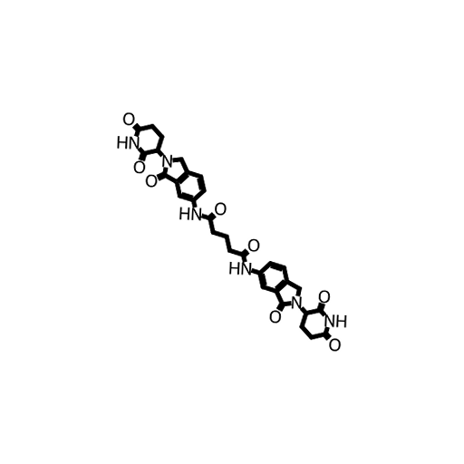 O=C1CCC(N2Cc3ccc(NC(=O)CCCC(=O)Nc4ccc5c(c4)C(=O)N(C4CCC(=O)NC4=O)C5)cc3C2=O)C(=O)N1